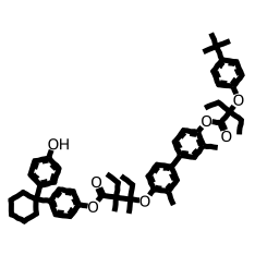 CCC(CC)(Oc1ccc(C(C)(C)C)cc1)C(=O)Oc1ccc(-c2ccc(OC(C)(CC)C(C)(CC)C(=O)Oc3ccc(C4(c5ccc(O)cc5)CCCCC4)cc3)c(C)c2)cc1C